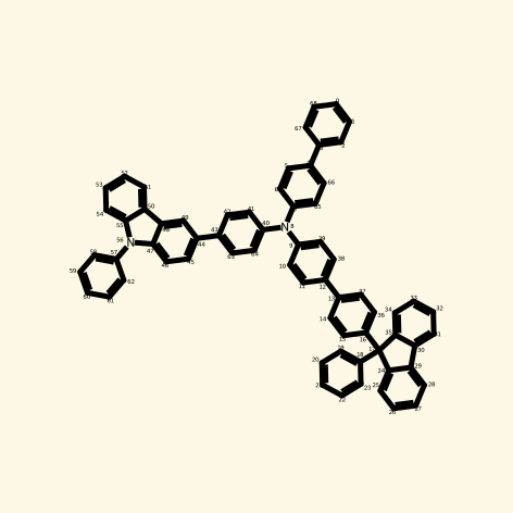 c1ccc(-c2ccc(N(c3ccc(-c4ccc(C5(c6ccccc6)c6ccccc6-c6ccccc65)cc4)cc3)c3ccc(-c4ccc5c(c4)c4ccccc4n5-c4ccccc4)cc3)cc2)cc1